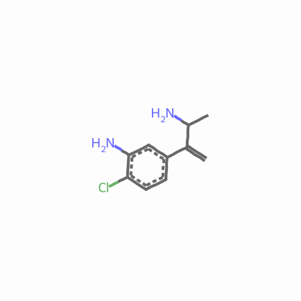 C=C(c1ccc(Cl)c(N)c1)C(C)N